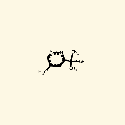 Cc1cnnc(C(C)(C)O)c1